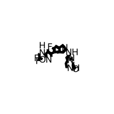 Cc1c(-c2cc3cc(Nc4cc5n(n4)CC(=O)NCC5)ncc3cc2F)cnc2c1NCC(F)(F)O2